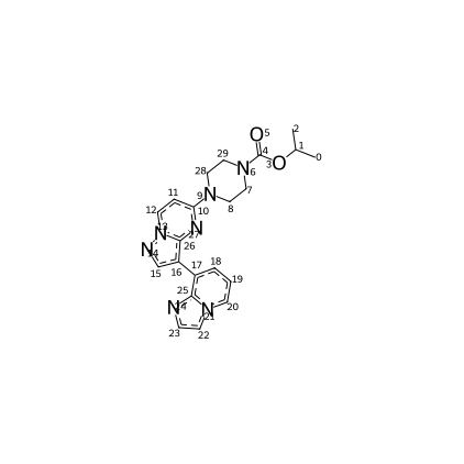 CC(C)OC(=O)N1CCN(c2ccn3ncc(-c4cccn5ccnc45)c3n2)CC1